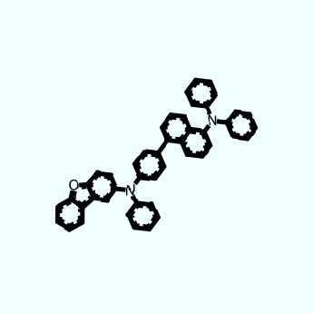 c1ccc(N(c2ccc(-c3cccc4c(N(c5ccccc5)c5ccccc5)cccc34)cc2)c2ccc3oc4ccccc4c3c2)cc1